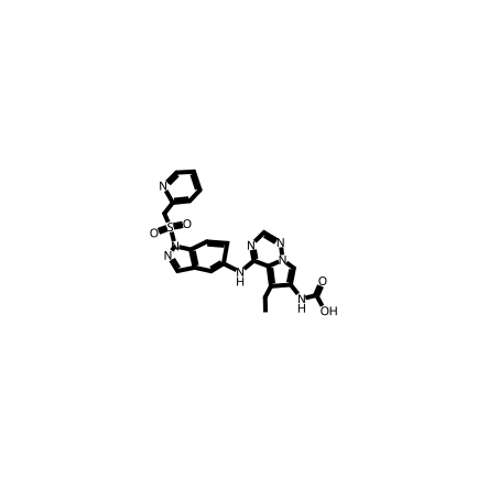 CCc1c(NC(=O)O)cn2ncnc(Nc3ccc4c(cnn4S(=O)(=O)Cc4ccccn4)c3)c12